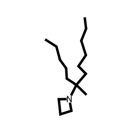 CCCCCCC(C)(CCCCC)N1CCC1